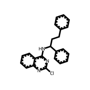 Clc1nc(NC(CCc2ccccc2)c2ccccc2)c2ccccc2n1